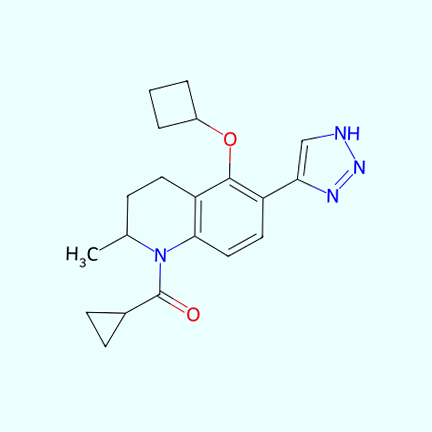 CC1CCc2c(ccc(-c3c[nH]nn3)c2OC2CCC2)N1C(=O)C1CC1